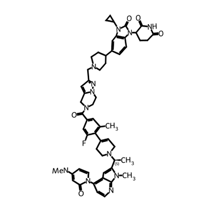 CNc1ccn(-c2ccnc3c2cc([C@H](C)N2CC=C(c4c(C)cc(C(=O)N5CCn6nc(CN7CCC(c8ccc9c(c8)n(C8CC8)c(=O)n9C8CCC(=O)NC8=O)CC7)cc6C5)cc4F)CC2)n3C)c(=O)c1